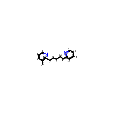 Cc1cccnc1CC[CH]CCc1ccccn1